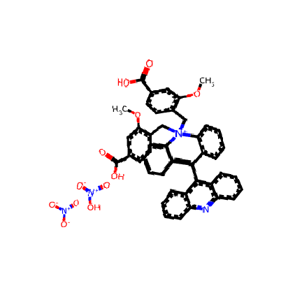 COc1cc(C(=O)O)ccc1C[N+]1(Cc2ccc(C(=O)O)cc2OC)C2=CC=CCC2=C(c2c3ccccc3nc3ccccc23)c2ccccc21.O=[N+]([O-])O.O=[N+]([O-])[O-]